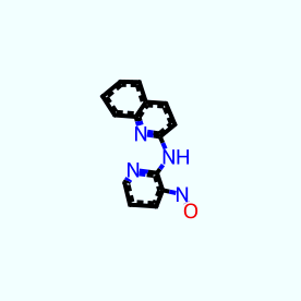 O=Nc1cccnc1Nc1ccc2ccccc2n1